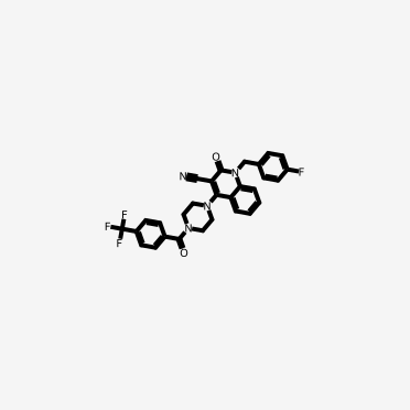 N#Cc1c(N2CCN(C(=O)c3ccc(C(F)(F)F)cc3)CC2)c2ccccc2n(Cc2ccc(F)cc2)c1=O